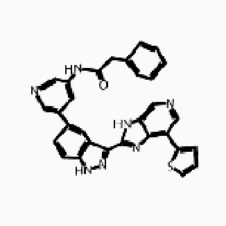 O=C(Cc1ccccc1)Nc1cncc(-c2ccc3[nH]nc(-c4nc5c(-c6cccs6)cncc5[nH]4)c3c2)c1